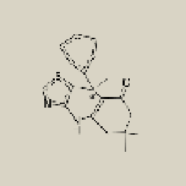 CC1(C)CC(=O)C2=C(C1)Nc1ncsc1[C@@]2(C)c1ccccc1